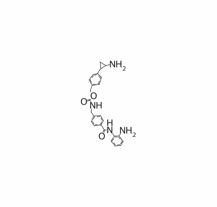 Nc1ccccc1NC(=O)c1ccc(CNC(=O)OCc2ccc(C3CC3N)cc2)cc1